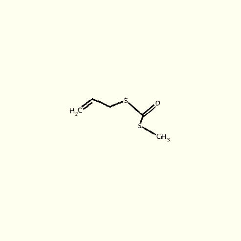 C=CCSC(=O)SC